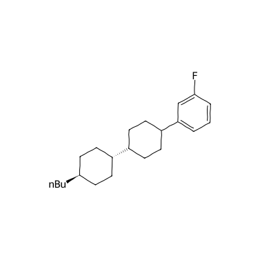 CCCC[C@H]1CC[C@H](C2CCC(c3cccc(F)c3)CC2)CC1